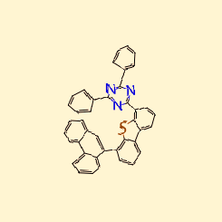 c1ccc(-c2nc(-c3ccccc3)nc(-c3cccc4c3sc3c(-c5cc6ccccc6c6ccccc56)cccc34)n2)cc1